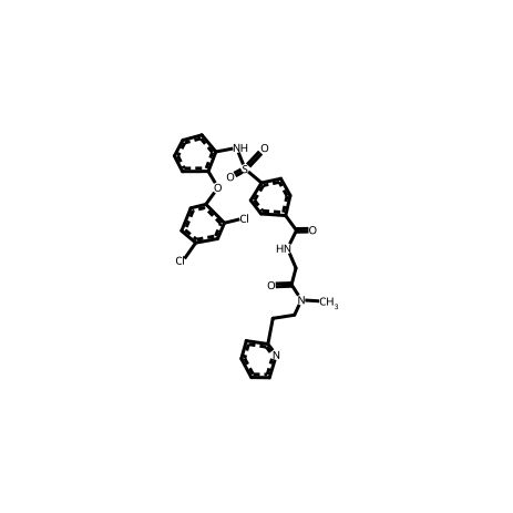 CN(CCc1ccccn1)C(=O)CNC(=O)c1ccc(S(=O)(=O)Nc2ccccc2Oc2ccc(Cl)cc2Cl)cc1